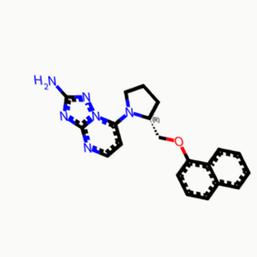 Nc1nc2nccc(N3CCC[C@@H]3COc3cccc4ccccc34)n2n1